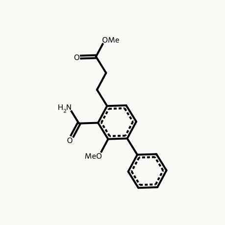 COC(=O)CCc1ccc(-c2ccccc2)c(OC)c1C(N)=O